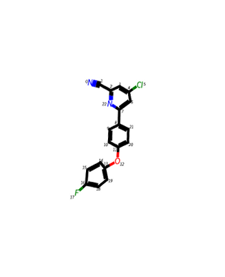 N#Cc1cc(Cl)cc(-c2ccc(Oc3ccc(F)cc3)cc2)n1